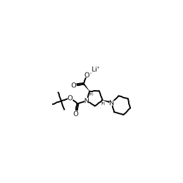 CC(C)(C)OC(=O)N1C[C@H](N2CCCCC2)C[C@@H]1C(=O)[O-].[Li+]